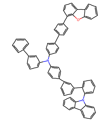 c1ccc(-c2cccc(N(c3ccc(-c4ccc(-c5cccc6c5oc5ccccc56)cc4)cc3)c3ccc(-c4cccc(-c5ccccc5-n5c6ccccc6c6ccccc65)c4)cc3)c2)cc1